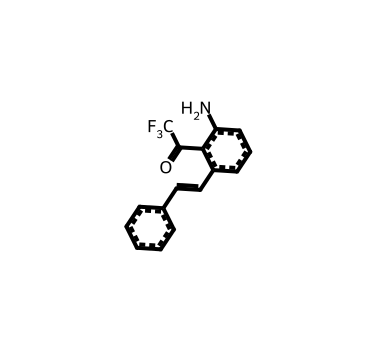 Nc1cccc(C=Cc2ccccc2)c1C(=O)C(F)(F)F